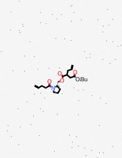 C=CCCC(=O)N1CCC[C@H]1COC(=O)C(CC=C)CC(=O)OCC(C)C